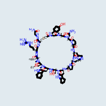 CCCC[C@H]1C(=O)N[C@@H](CCCNC(=N)N)C(=O)NC(C(=O)NCC(N)=O)CSCC(=O)N[C@@H](Cc2ccc(O)cc2)C(=O)N(C)[C@@H](C)C(=O)N[C@@H](CC(N)=O)C(=O)N2CCC[C@H]2C(=O)N[C@@H](Cc2cnc[nH]2)C(=O)N[C@@H](CC(C)C)C(=O)N2CCC[C@H]2C(=O)N[C@@H](Cc2c[nH]c3ccccc23)C(=O)N[C@@H](CO)C(=O)N[C@@H](Cc2c[nH]c3ccccc23)C(=O)N(C)[C@@H](COCC)C(=O)N1C